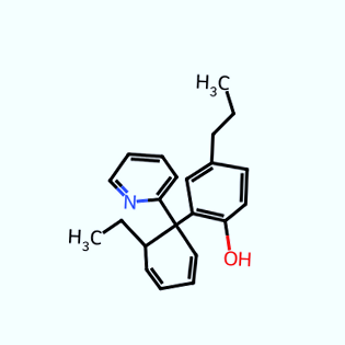 CCCc1ccc(O)c(C2(c3ccccn3)C=CC=CC2CC)c1